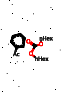 CC(=O)c1ccccc1.CCCCCCOC(=O)OCCCCCC